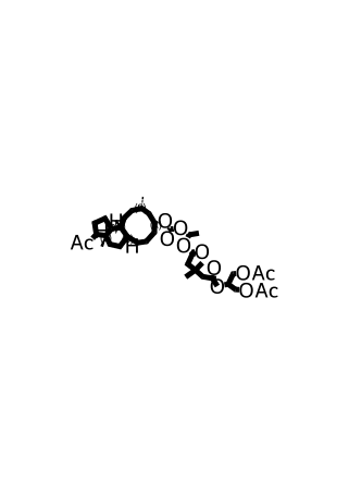 CC(=O)OCC(COC(C)=O)OC(=O)CC(C)(C)CC(=O)OC(C)OC(=O)O[C@@H]1CCC[C@H]2CC[C@]3(C)C(C(C)=O)CC[C@H]3[C@@H]2CC[C@H](C)C1